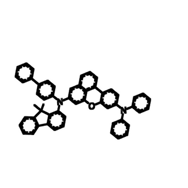 CC1(C)c2ccccc2-c2cccc(N(c3ccc(-c4ccccc4)cc3)c3cc4c5c(cccc5c3)-c3ccc(N(c5ccccc5)c5ccccc5)cc3O4)c21